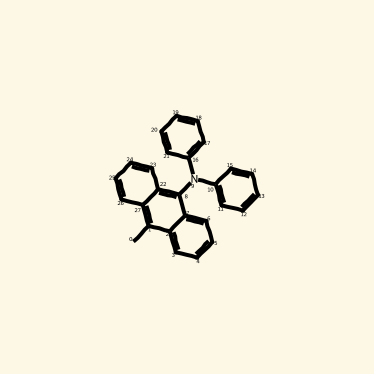 Cc1c2ccccc2c(N(c2ccccc2)c2ccccc2)c2ccccc12